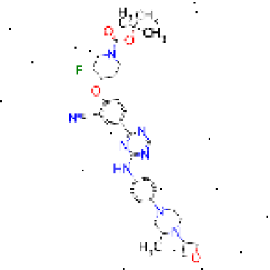 CC1CN(c2ccc(Nc3ncnc(-c4ccc(O[C@H]5CCN(C(=O)OC(C)(C)C)C[C@H]5F)c(C#N)c4)n3)cc2)CCN1C1COC1